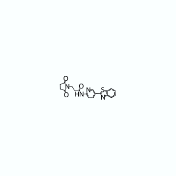 O=C(CCN1C(=O)CCC1=O)Nc1ccc(-c2nc3ccccc3s2)cn1